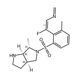 C=N/C=C(/F)c1c(C)cccc1S(=O)(=O)N1C[C@H]2CCN[C@H]2[C@@H]1C